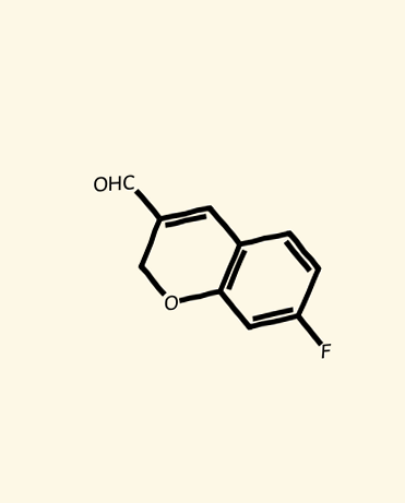 O=CC1=Cc2ccc(F)cc2OC1